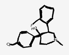 CN1CCC(O)(c2ccc(Cl)cc2)C(c2ccccc2F)C1